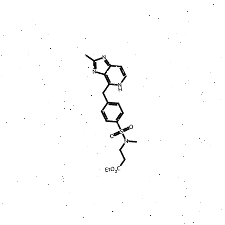 CCOC(=O)CCN(C)S(=O)(=O)c1ccc(Cc2[nH]ccc3nc(C)nc2-3)cc1